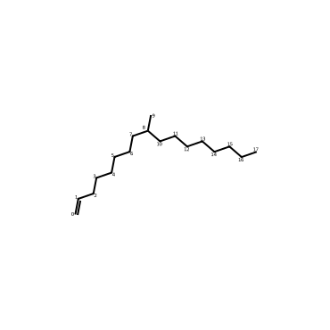 C=CCCCCCCC(C)CCCCCCCC